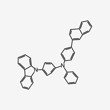 c1ccc(N(c2ccc(-c3ccc4ccccc4c3)cc2)c2ccc(-n3c4ccccc4c4ccccc43)cc2)cc1